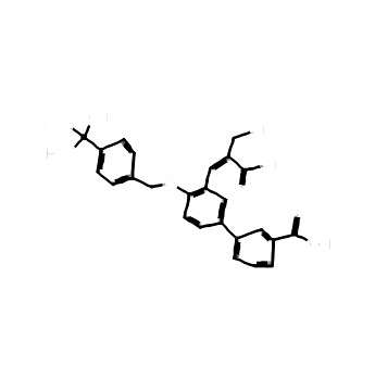 CCC(=Cc1cc(-c2cccc(C(=O)O)c2)ccc1OCc1ccc(C(C)(C)C)cc1)C(=O)O